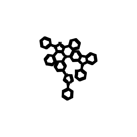 c1ccc(-c2nn(-c3ccccc3)c(-c3ccccc3)c2B(c2cccc(-n3cc[n+](-c4ccccc4)c3)c2)c2ccc3c4ccccc4n(-c4ccccn4)c3c2)cc1